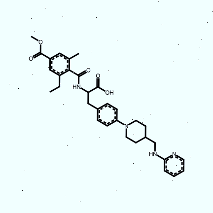 CCc1cc(C(=O)OC)cc(C)c1C(=O)NC(Cc1ccc(N2CCC(CNc3ccccn3)CC2)cc1)C(=O)O